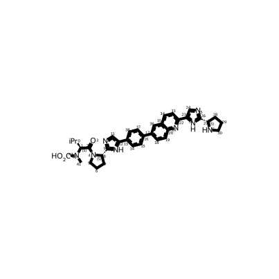 CC(C)[C@@H](C(=O)N1CCC[C@H]1c1ncc(-c2ccc(-c3ccc4nc(-c5cnc([C@@H]6CCCN6)[nH]5)ccc4c3)cc2)[nH]1)N(C)C(=O)O